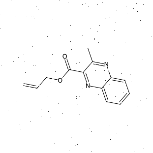 C=CCOC(=O)c1nc2ccccc2nc1C